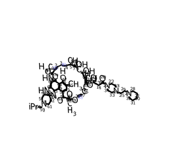 C/C1=C/C=C/C(C)[C@H](O)CC(O)[C@@H](C)[C@H](OC(=O)CC(=O)N2CCN(CCN3CCCCC3)CC2)CC/C=C/O[C@@]2(C)Oc3c(C)c(O)c4c(c3C2=O)C2=NC3(CCN(CC(C)C)CC3)NC2=C(NC1=O)C4=O